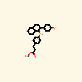 CCCCOC(=O)CCc1ccc(Oc2c(-c3ccc(O)cc3)ccc3ccccc23)cc1